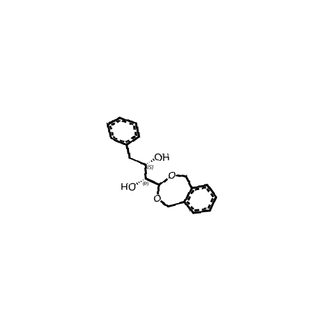 O[C@@H](Cc1ccccc1)[C@@H](O)C1OCc2ccccc2CO1